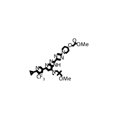 COCC(C)(C)CN(C)c1cc(-c2cnc(C3CC3)c(C(F)(F)F)c2)nc2nc(-c3cnc(N4CCC(OCC(=O)OC)CC4)cn3)[nH]c12